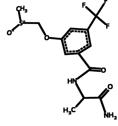 CC(NC(=O)c1cc(OC[S+](C)[O-])cc(C(F)(F)F)c1)C(N)=O